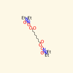 CCN(CC)/[N+]([O-])=N/OCOC(=O)CCCCCCCC(=O)OCO/N=[N+](\[O-])N(CC)CC